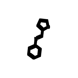 C(=N\c1ccccc1)/c1ccco1